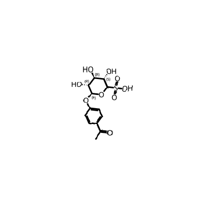 CC(=O)c1ccc(O[C@@H]2OC(S(=O)(=O)O)[C@@H](O)[C@H](O)[C@H]2O)cc1